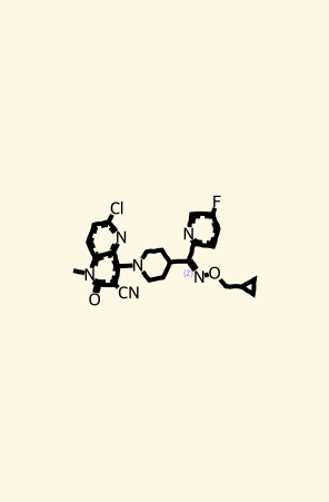 Cn1c(=O)c(C#N)c(N2CCC(/C(=N/OCC3CC3)c3ccc(F)cn3)CC2)c2nc(Cl)ccc21